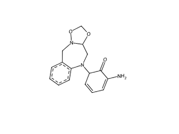 NC1=CC=CC(N2CC3OCON3Cc3ccccc32)C1=O